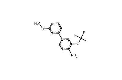 COc1cccc(-c2ccc(N)c(OC(F)(F)F)c2)c1